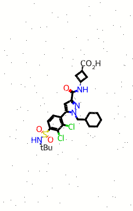 CC(C)(C)NS(=O)(=O)c1ccc(-c2cc(C(=O)N[C@H]3C[C@H](C(=O)O)C3)nn2CC2CCCCC2)c(Cl)c1Cl